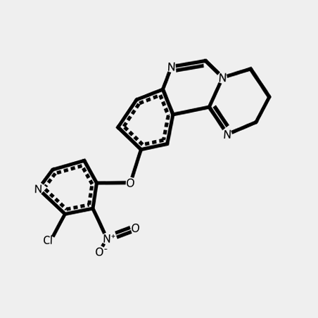 O=[N+]([O-])c1c(Oc2ccc3c(c2)C2=NCCCN2C=N3)ccnc1Cl